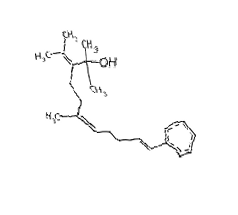 CC(=CCCC=Cc1ccccc1)CCC(=C(C)C)C(C)(C)O